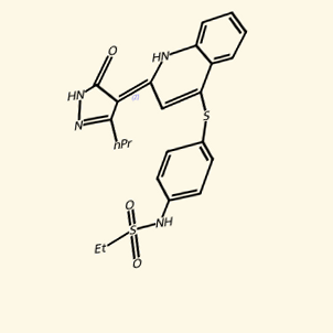 CCCC1=NNC(=O)/C1=C1/C=C(Sc2ccc(NS(=O)(=O)CC)cc2)c2ccccc2N1